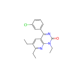 CCc1cc2c(-c3cccc(Cl)c3)nc(=O)n(CC)c2nc1CC